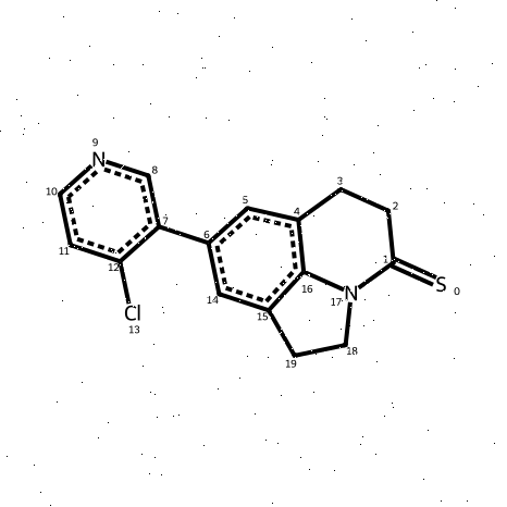 S=C1CCc2cc(-c3cnccc3Cl)cc3c2N1CC3